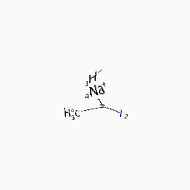 CCI.[H-].[Na+]